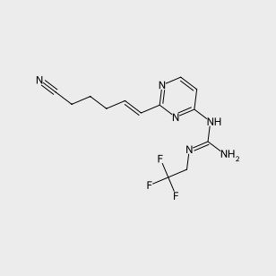 N#CCCCC=Cc1nccc(NC(N)=NCC(F)(F)F)n1